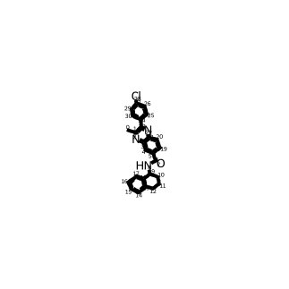 Cc1nc2cc(C(=O)NC3CCCc4ccccc43)ccc2nc1-c1ccc(Cl)cc1